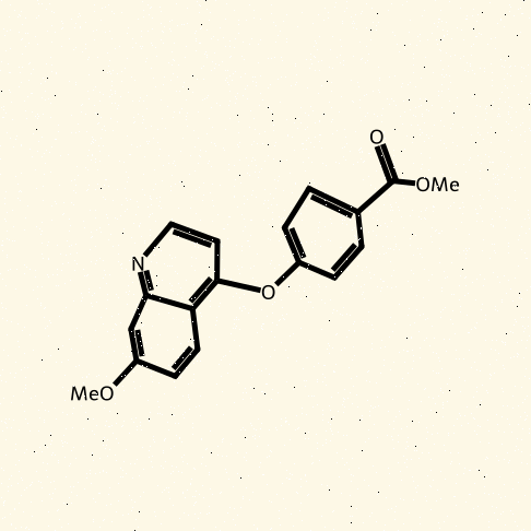 COC(=O)c1ccc(Oc2ccnc3cc(OC)ccc23)cc1